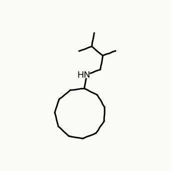 CC(C)C(C)CNC1CCCCCCCCCC1